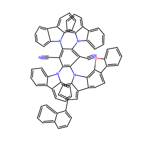 N#Cc1c(-n2c3ccccc3c3ccccc32)c(-n2c3ccccc3c3ccccc32)c(C#N)c(-n2c3ccc(-c4cccc5ccccc45)cc3c3ccc4c5ccccc5oc4c32)c1-n1c2ccccc2c2ccccc21